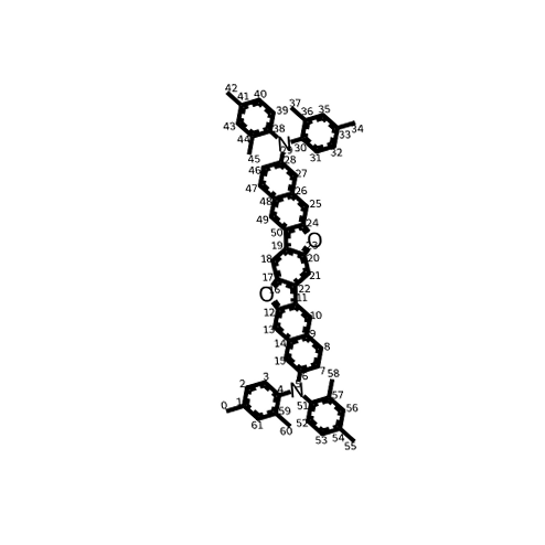 Cc1ccc(N(c2ccc3cc4c(cc3c2)oc2cc3c(cc24)oc2cc4cc(N(c5ccc(C)cc5C)c5ccc(C)cc5C)ccc4cc23)c2ccc(C)cc2C)c(C)c1